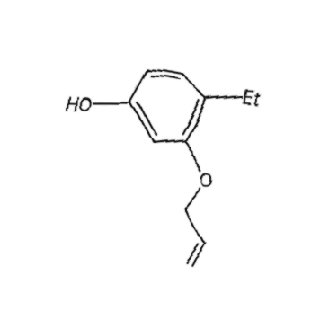 C=CCOc1cc(O)ccc1CC